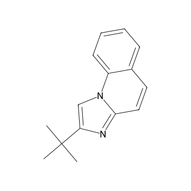 CC(C)(C)c1cn2c(ccc3ccccc32)n1